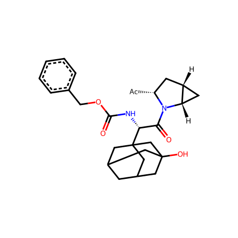 CC(=O)[C@@H]1C[C@@H]2C[C@@H]2N1C(=O)[C@@H](NC(=O)OCc1ccccc1)C12CC3CC(CC(O)(C3)C1)C2